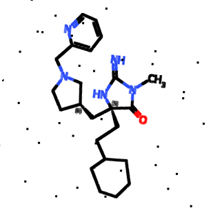 CN1C(=N)N[C@@](CCC2CCCCC2)(C[C@H]2CCN(Cc3ccccn3)C2)C1=O